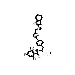 CCc1cc(F)cc(C)c1C(=O)NC(Cc1ccc(-c2ncc(CNc3nc4ccccc4[nH]3)o2)cc1)C(=O)O